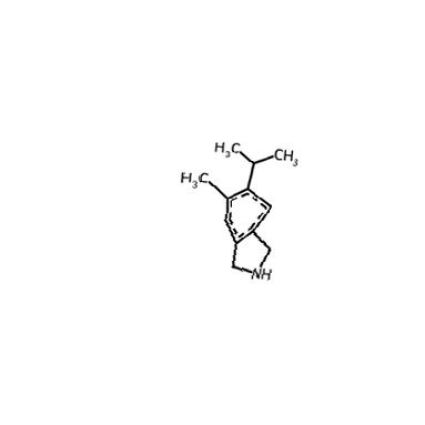 Cc1cc2c(cc1C(C)C)CNC2